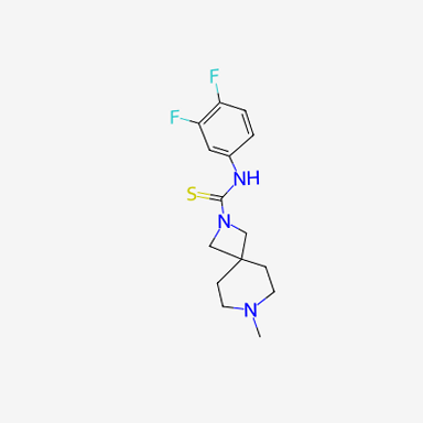 CN1CCC2(CC1)CN(C(=S)Nc1ccc(F)c(F)c1)C2